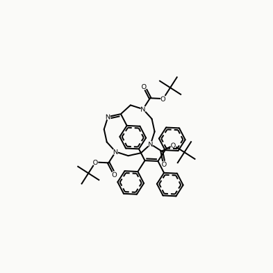 CC(C)(C)OC(=O)N1CC/N=C(\c2ccc(C(=C(c3ccccc3)c3ccccc3)c3ccccc3)cc2)CN(C(=O)OC(C)(C)C)CCN(C(=O)OC(C)(C)C)CC1